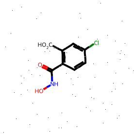 O=C(O)c1cc(Cl)ccc1C(=O)NO